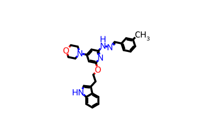 Cc1cccc(C=NNc2cc(N3CCOCC3)cc(OCCc3c[nH]c4ccccc34)n2)c1